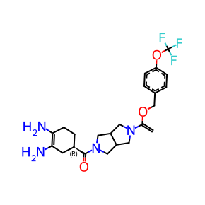 C=C(OCc1ccc(OC(F)(F)F)cc1)N1CC2CN(C(=O)[C@@H]3CCC(N)=C(N)C3)CC2C1